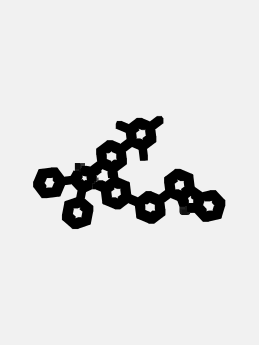 Cc1cc(C)c(-c2ccc3c(c2)c2cc(-c4cccc(-c5cccc6c5oc5ccccc56)c4)ccc2n2c(-c4ccccc4)c(-c4ccccc4)nc32)c(C)c1